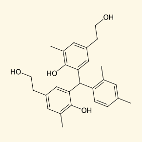 Cc1ccc(C(c2cc(CCO)cc(C)c2O)c2cc(CCO)cc(C)c2O)c(C)c1